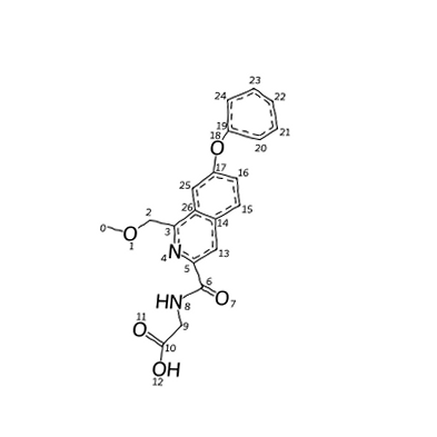 COCc1nc(C(=O)NCC(=O)O)cc2ccc(Oc3ccccc3)cc12